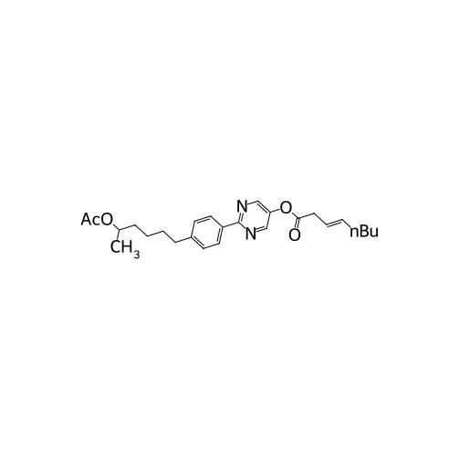 CCCCC=CCC(=O)Oc1cnc(-c2ccc(CCCCC(C)OC(C)=O)cc2)nc1